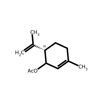 C=C(C)[C@@H]1CCC(C)=CC1OC(C)=O